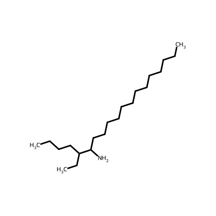 CCCCCCCCCCCCCC(N)C(CC)CCCC